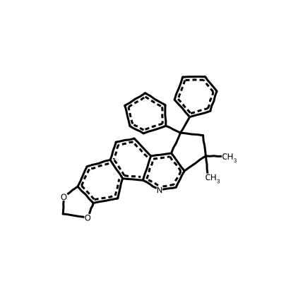 CC1(C)CC(c2ccccc2)(c2ccccc2)c2c1cnc1c2ccc2cc3c(cc21)OCO3